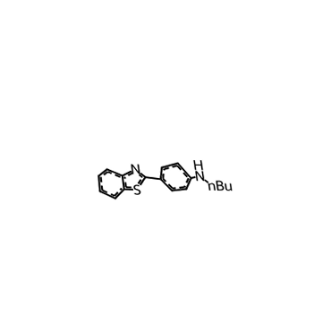 CCCCNc1ccc(-c2nc3ccccc3s2)cc1